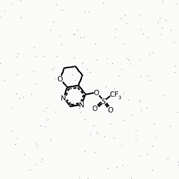 O=S(=O)(Oc1ncnc2c1CCCO2)C(F)(F)F